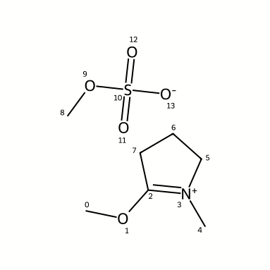 COC1=[N+](C)CCC1.COS(=O)(=O)[O-]